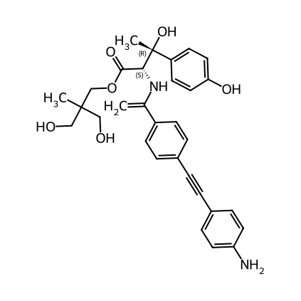 C=C(N[C@H](C(=O)OCC(C)(CO)CO)[C@](C)(O)c1ccc(O)cc1)c1ccc(C#Cc2ccc(N)cc2)cc1